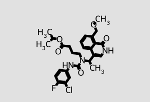 COCc1cccc2c(C(C)N(CCCC(=O)OC(C)C)C(=O)Nc3ccc(F)c(Cl)c3)c[nH]c(=O)c12